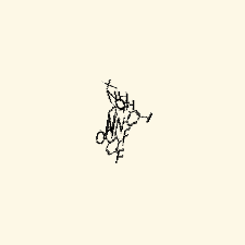 CC(C)(C)CNCC1(O)CN(C(=O)c2ccc(F)c(F)c2Nc2ccc(I)cc2F)C1